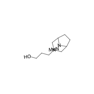 CNN1C2CCC1CN(CCCO)C2